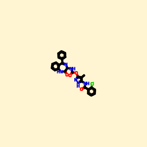 Cc1c(OC(=O)NC2N=C(c3ccccc3)c3ccccc3NC2=O)n[nH]c1NC(=O)c1ccccc1Cl